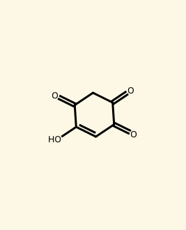 O=C1C=C(O)C(=O)CC1=O